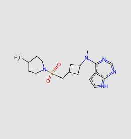 CN(c1ncnc2[nH]ccc12)C1CC(CS(=O)(=O)N2CCC(C(F)(F)F)CC2)C1